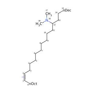 CCCCCCCC/C=C\CCCCCCCCCC(CCCCCCCCCCCC)N(C)C